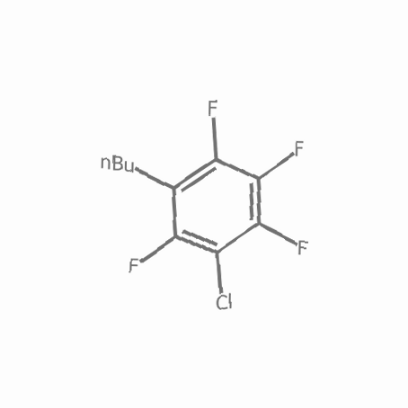 CCCCc1c(F)c(F)c(F)c(Cl)c1F